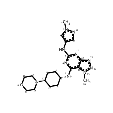 Cn1cc(Nc2nc(N[C@H]3CC[C@H](N4CCOCC4)CC3)c3c(nnn3C)n2)cn1